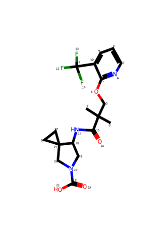 CC(C)(COc1ncccc1C(F)(F)F)C(=O)NC1CN(C(=O)O)CC12CC2